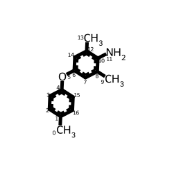 Cc1ccc(Oc2cc(C)c(N)c(C)c2)cc1